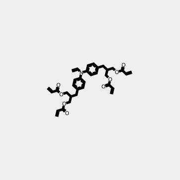 C=CC(=O)OCC(COC(=O)C=C)Cc1ccc(N(C=C)c2ccc(CC(COC(=O)C=C)COC(=O)C=C)cc2)cc1